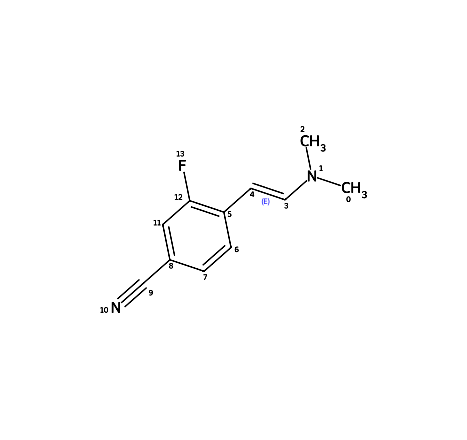 CN(C)/C=C/c1ccc(C#N)cc1F